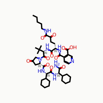 CCCCCNC(=O)C(=O)CC[C@H](NC(=O)c1ccncc1C(=O)O)C(=O)N[C@H](C(=O)N1CC(=O)C[C@H]1C(=O)N[C@H](C(=O)N[C@H](C(N)=O)C1CCCCC1)C1CCCCC1)C(C)(C)C